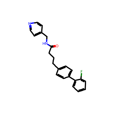 O=C(CCCc1ccc(-c2ccccc2F)cc1)NCc1ccncc1